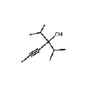 CC#CC(O)(C(C)C)C(C)C